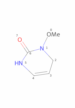 CON1CC=CNC1=O